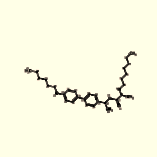 CCCCCCCOC(C)C(=O)OC(C)c1ccc(-c2ccc(OCCCCCC)cc2)cc1